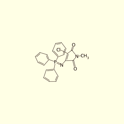 CN1C(=O)C(Cl)=C(N=P(c2ccccc2)(c2ccccc2)c2ccccc2)C1=O